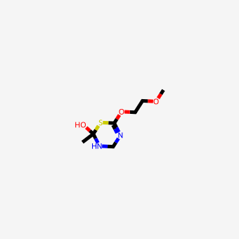 COCCOC1=NCNC(C)(O)S1